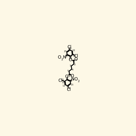 O=C(CCCCC(=O)Oc1c(Cl)cc(Cl)cc1[N+](=O)[O-])Oc1c(Cl)cc(Cl)cc1[N+](=O)[O-]